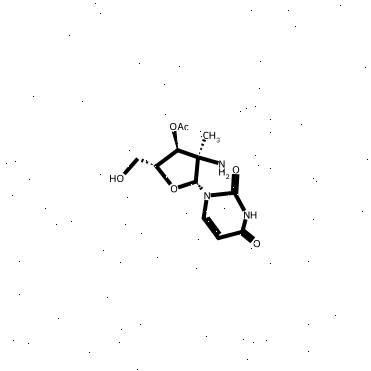 CC(=O)O[C@@H]1[C@@H](CO)O[C@@H](n2ccc(=O)[nH]c2=O)[C@]1(C)N